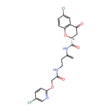 C=C(CCNC(=O)COc1ccc(Cl)cn1)NC(=O)[C@H]1CC(=O)c2cc(Cl)ccc2O1